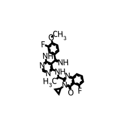 COc1ccc(C(=N)c2c(N)ncnc2NC(C)c2nc3cccc(F)c3c(=O)n2C2CC2)cc1F